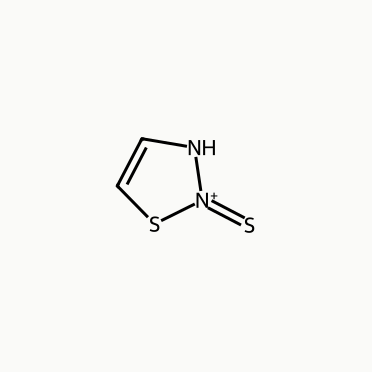 S=[n+]1[nH]ccs1